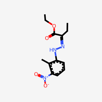 CCOC(=O)C(CC)=NNc1cccc([N+](=O)[O-])c1C